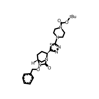 CC(C)(C)OC(=O)N1CCN(c2nnc([C@@H]3CC[C@@H]4CN3C(=O)N4OCc3ccccc3)s2)CC1